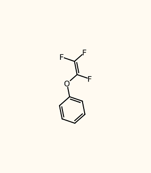 FC(F)=C(F)Oc1ccccc1